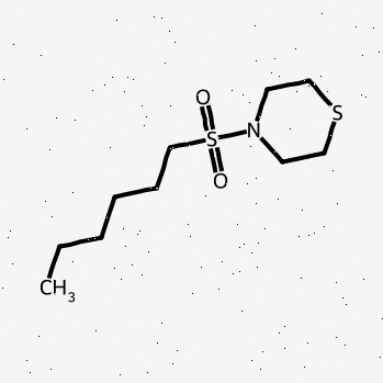 CCCCCCS(=O)(=O)N1CCSCC1